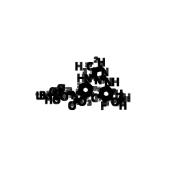 [2H]c1nc(Nc2cc(C)c(F)c(OC([2H])([2H])[2H])c2)nc(Nc2ccc3oc(=O)n(COP(=O)(O)OC(C)(C)C)c3c2)c1C